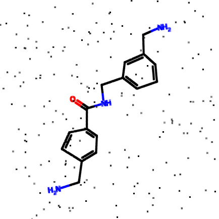 NCc1ccc(C(=O)NCc2cccc(CN)c2)cc1